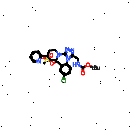 CC(C)(C)OC(=O)NCc1nnc(N2CCC(c3ccccn3)CC2)n1-c1ccc(Cl)cc1COS(C)(=O)=O